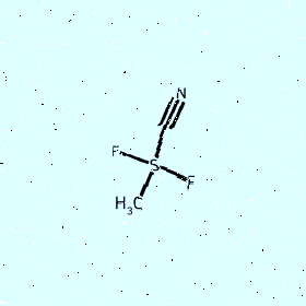 CS(F)(F)C#N